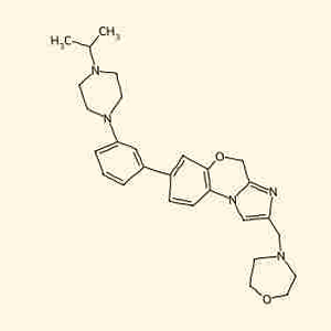 CC(C)N1CCN(c2cccc(-c3ccc4c(c3)OCc3nc(CN5CCOCC5)cn3-4)c2)CC1